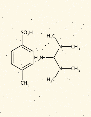 CN(C)C(N)N(C)C.Cc1ccc(S(=O)(=O)O)cc1